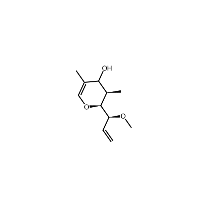 C=C[C@H](OC)[C@H]1OC=C(C)C(O)[C@H]1C